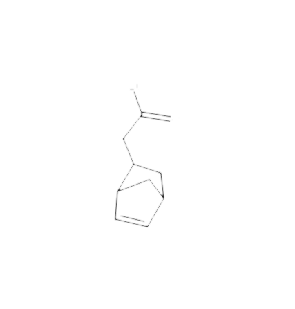 CCC(=O)CC1CC2C=CC1C2